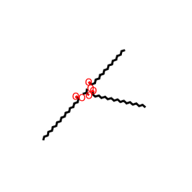 CCCCCCCCCCCCCCCCCC(=O)OCC(COC(=O)CCCCCCCCCCCCCCC)OC(=O)CCCCCCCCCCCCCCCCC